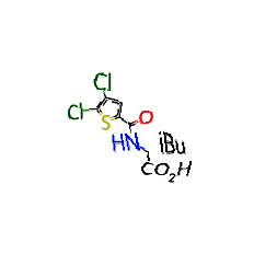 CC[C@H](C)[C@H](NC(=O)c1cc(Cl)c(Cl)s1)C(=O)O